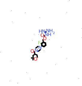 CC1(C)CC(C(=O)N2CCN(c3cccc(COC(=O)NC(=N)N)c3F)CC2)CCO1